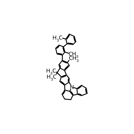 Cc1ccccc1-c1cccc(-c2cc3c(cc2C)-c2cc4c(cc2C3(C)C)c2c3c(c5ccccc5n34)CCC=2)c1C